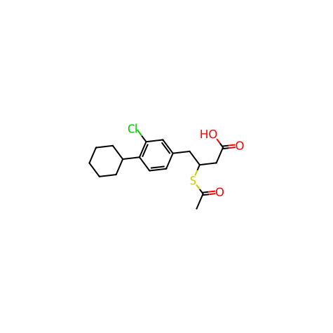 CC(=O)SC(CC(=O)O)Cc1ccc(C2CCCCC2)c(Cl)c1